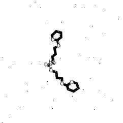 O=[PH](OCCCOC1CCCCO1)OCCCOC1CCCCO1